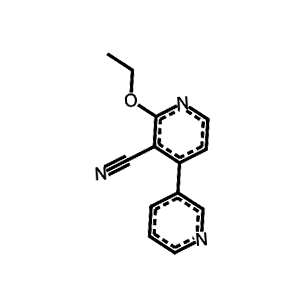 CCOc1nccc(-c2cccnc2)c1C#N